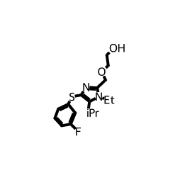 CCn1c(COCCO)nc(Sc2cccc(F)c2)c1C(C)C